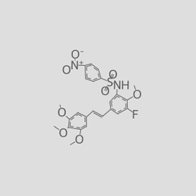 COc1cc(C=Cc2cc(F)c(OC)c(NS(=O)(=O)c3ccc([N+](=O)[O-])cc3)c2)cc(OC)c1OC